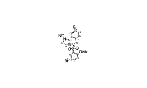 COc1ccc(Br)cc1S(=O)(=O)N(Cc1ccc(F)cc1)[C@@H]1CCN(C#N)C1